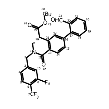 CN(Cc1ccc(C(F)(F)F)c(F)c1)C(=O)c1ccc(-c2ccccc2C=O)cc1CC(=O)OC(C)(C)C